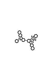 c1ccc(-n2c3ccc(-c4cc5c6cc7ccccc7cc6n6c7nc8ccccc8nc7c(c4)c56)cc3c3cc4ccccc4cc32)cc1